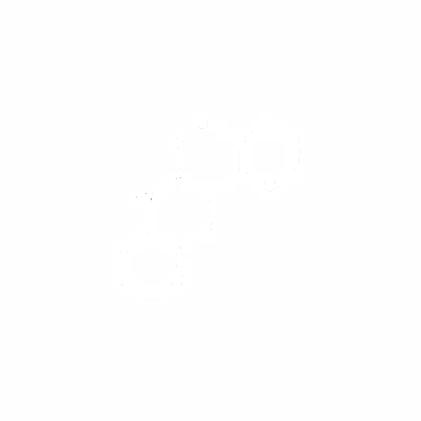 O=C1Nc2ccccc2SC1c1ccccc1Cl